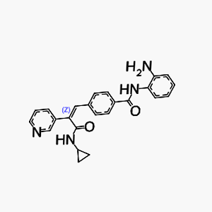 Nc1ccccc1NC(=O)c1ccc(/C=C(\C(=O)NC2CC2)c2cccnc2)cc1